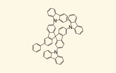 c1ccc(-c2ccc3c(c2)-c2ccc(-n4c5ccccc5c5ccccc54)cc2C32c3ccc(-n4c5ccccc5c5ccccc54)cc3-c3ccc(-n4c5ccccc5c5ccccc54)cc32)cc1